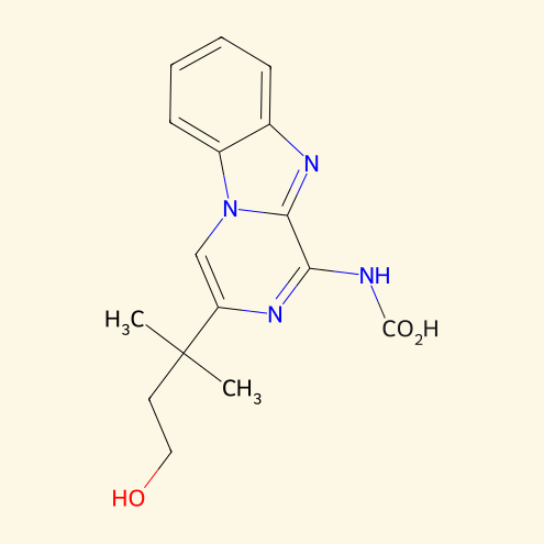 CC(C)(CCO)c1cn2c(nc3ccccc32)c(NC(=O)O)n1